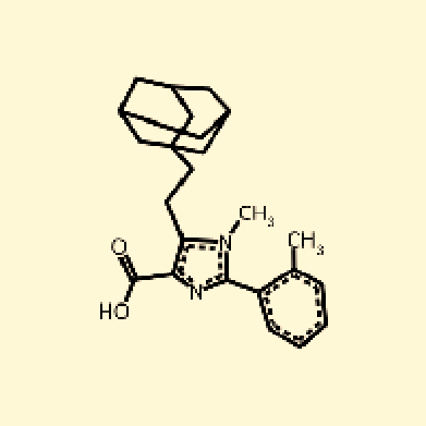 Cc1ccccc1-c1nc(C(=O)O)c(CCC23CC4CC(CC(C4)C2)C3)n1C